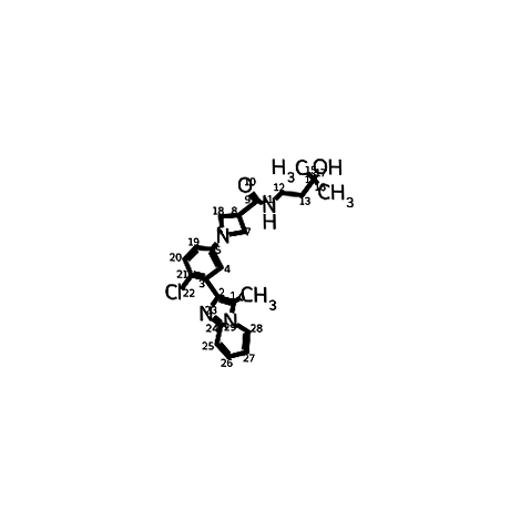 Cc1c(-c2cc(N3CC(C(=O)NCCC(C)(C)O)C3)ccc2Cl)nc2ccccn12